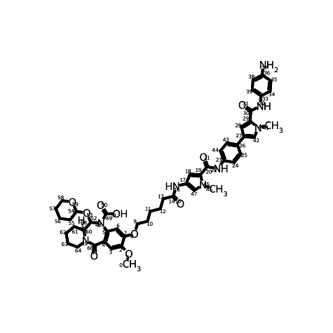 COc1cc2c(cc1OCCCCCC(=O)Nc1cc(C(=O)Nc3ccc(-c4cc(C(=O)Nc5ccc(N)cc5)n(C)c4)cc3)n(C)c1)N(C(=O)O)C(OC1CCCCO1)[C@@H]1CCCCN1C2=O